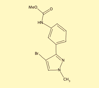 COC(=O)Nc1cccc(-c2nn(C)cc2Br)c1